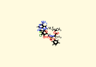 CC(C)OC(=O)C(C)N[P@](=O)(OC[C@H]1O[C@@](C#N)(n2ncc3c(N)ncnc32)[C@@](F)(Cl)[C@@H]1O)Oc1ccccc1